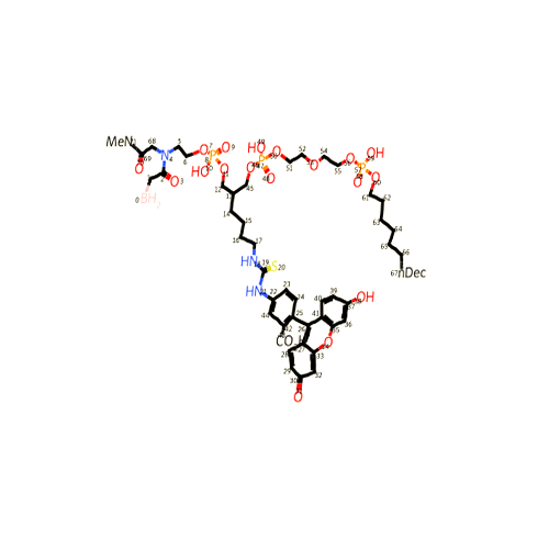 BCC(=O)N(CCOP(=O)(O)OCC(CCCCNC(=S)Nc1ccc(-c2c3ccc(=O)cc-3oc3cc(O)ccc23)c(C(=O)O)c1)COP(=O)(O)OCCOCCOP(=O)(O)OCCCCCCCCCCCCCCCC)CC(=O)NC